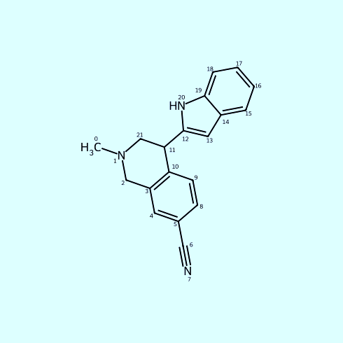 CN1Cc2cc(C#N)ccc2C(c2cc3ccccc3[nH]2)C1